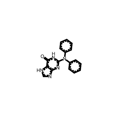 O=c1[nH]c(N(c2ccccc2)c2ccccc2)nc2nc[nH]c12